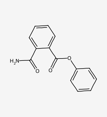 NC(=O)c1ccccc1C(=O)Oc1ccccc1